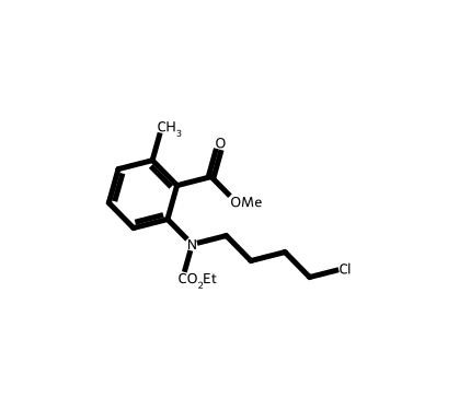 CCOC(=O)N(CCCCCl)c1cccc(C)c1C(=O)OC